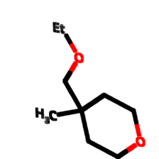 CCOCC1(C)CCOCC1